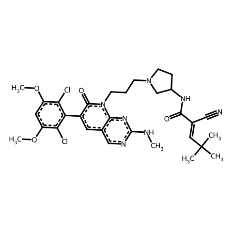 CNc1ncc2cc(-c3c(Cl)c(OC)cc(OC)c3Cl)c(=O)n(CCCN3CCC(NC(=O)C(C#N)=CC(C)(C)C)C3)c2n1